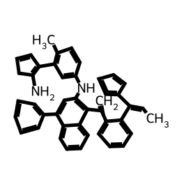 C=C(c1ccccc1/C(=C\C)C1=C=CC=C1)c1c(Nc2ccc(C)c(C3=C(N)CC=C3)c2)cc(-c2ccccc2)c2ccccc12